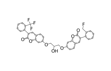 O=c1oc2cc(OCC(O)COc3ccc4cc(-c5ccccc5C(F)(F)F)c(=O)oc4c3)ccc2cc1-c1ccccc1CF